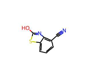 N#Cc1cccc2sc(O)nc12